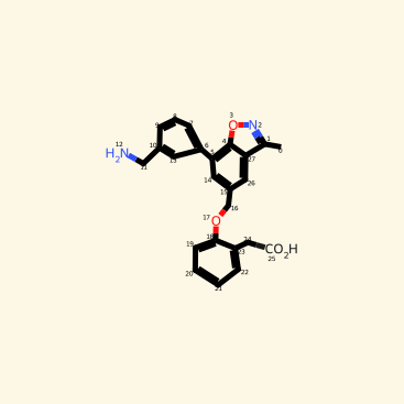 Cc1noc2c(-c3cccc(CN)c3)cc(COc3ccccc3CC(=O)O)cc12